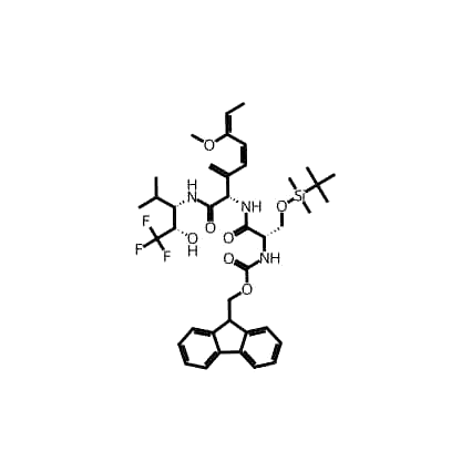 C=C(/C=C\C(=C/C)OC)[C@H](NC(=O)[C@H](CO[Si](C)(C)C(C)(C)C)NC(=O)OCC1c2ccccc2-c2ccccc21)C(=O)N[C@@H](C(C)C)[C@H](O)C(F)(F)F